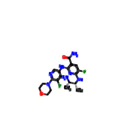 CCCC[C@@H](Nc1nc(Nc2cnc(N3CCOCC3)c(F)c2)c(C(N)=O)cc1F)[C@H](C)N